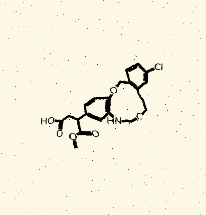 COC(=O)C(CC(=O)O)c1ccc2c(c1)NCCCCc1cc(Cl)ccc1CO2